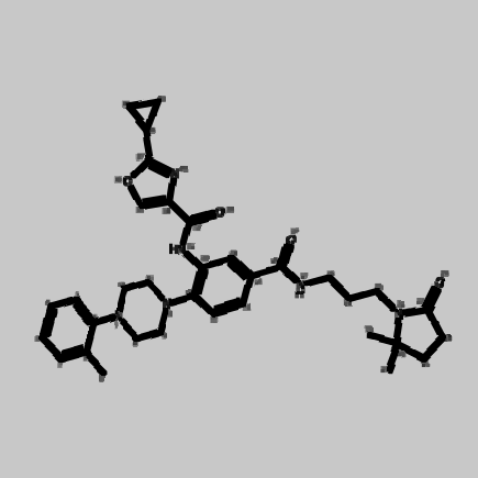 Cc1ccccc1N1CCN(c2ccc(C(=O)NCCCN3C(=O)CCC3(C)C)cc2NC(=O)c2coc(C3CC3)n2)CC1